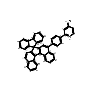 N#Cc1ccnc(-c2ccc(-c3cc4c(c5ccccc35)-c3c(ccc5ccccc35)C43c4ccccc4-c4ccccc43)cc2)c1